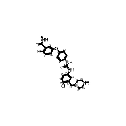 CNC(=O)c1cc(Oc2ccc(NC(=O)Nc3ccc(Cl)c(CN4CCN(C)CC4)c3)cc2)ccc1F